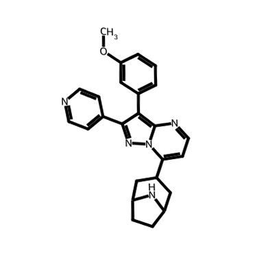 COc1cccc(-c2c(-c3ccncc3)nn3c(C4CC5CCC(C4)N5)ccnc23)c1